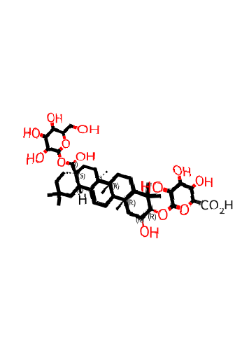 CC1(C)CC[C@]2([C@H](O)OC3OC(CO)C(O)C(O)C3O)CC[C@]3(C)C(=CCC4[C@@]5(C)C[C@@H](O)[C@H](OC6OC(C(=O)O)C(O)C(O)C6O)C(C)(C)C5CC[C@]43C)[C@@H]2C1